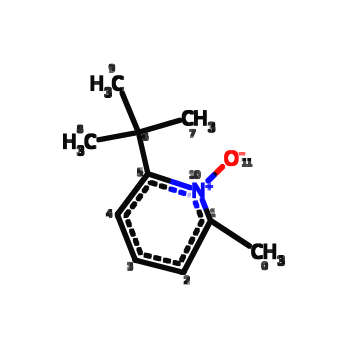 Cc1cccc(C(C)(C)C)[n+]1[O-]